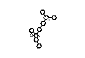 c1ccc(-c2ccc3c(c2)nc(-c2ccc(-c4ccc(-c5nc(-c6ccccc6)cc(-c6ccccc6)n5)cc4)cc2)c2c4ccccc4oc32)cc1